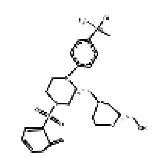 C[C@](O)(c1ccc(N2CCN(S(=O)(=O)C3=CC=CCC3=S)C[C@H]2CN2CCO[C@@H](CO)C2)cc1)C(F)(F)F